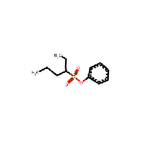 CCCC(CC)S(=O)(=O)Oc1ccccc1